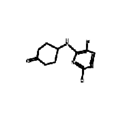 O=C1CCC(Nc2nc(Cl)ncc2Br)CC1